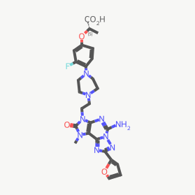 C[C@H](Oc1ccc(N2CCN(CCn3c(=O)n(C)c4c3nc(N)n3nc(-c5ccco5)nc43)CC2)c(F)c1)C(=O)O